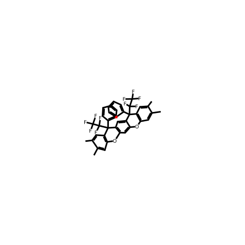 Cc1cc2c(cc1C)C(c1ccccc1)(C(F)(F)C(F)(F)F)c1cc3c(cc1O2)Oc1cc(C)c(C)cc1C3(c1ccccc1)C(F)(F)C(F)(F)F